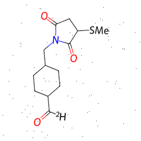 [2H]C(=O)C1CCC(CN2C(=O)CC(SC)C2=O)CC1